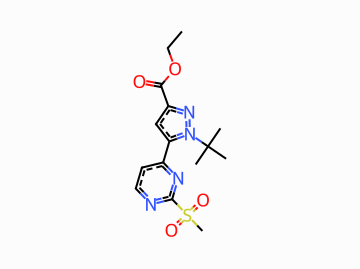 CCOC(=O)c1cc(-c2ccnc(S(C)(=O)=O)n2)n(C(C)(C)C)n1